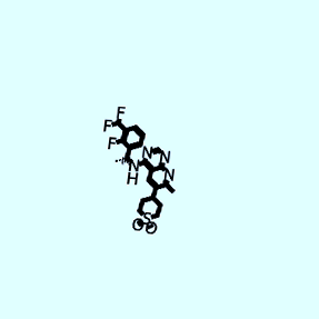 Cc1nc2ncnc(N[C@H](C)c3cccc(C(F)F)c3F)c2cc1C1CCS(=O)(=O)CC1